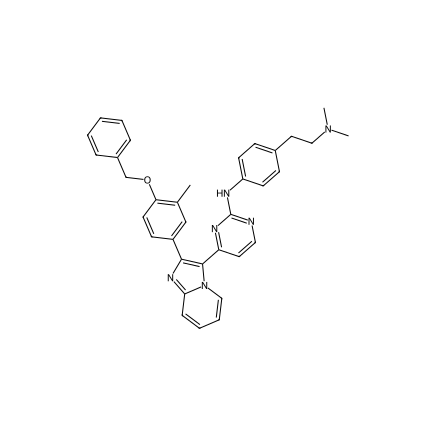 Cc1cc(-c2nc3ccccn3c2-c2ccnc(Nc3ccc(CCN(C)C)cc3)n2)ccc1OCc1ccccc1